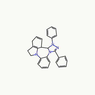 C1=CC2C3=C(C1)CCN3c1ccccc1N1C(c3ccccc3)=NN(c3ccccc3)C21